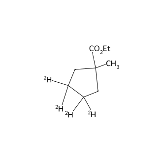 [2H]C1([2H])CC(C)(C(=O)OCC)CC1([2H])[2H]